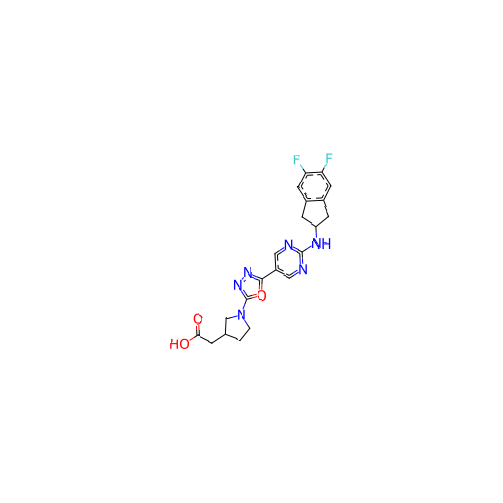 O=C(O)CC1CCN(c2nnc(-c3cnc(NC4Cc5cc(F)c(F)cc5C4)nc3)o2)C1